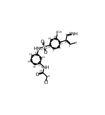 C/C=C(\C=N)c1ccc(S(=O)(=O)Nc2cccc(NC(=O)CCl)c2)cc1F